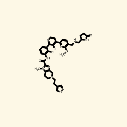 COc1nc(-c2ccnc(-c3cccc(NC(=O)c4nc5c(n4C)CCN(CCc4cnoc4)C5)c3Cl)c2Cl)ccc1CNCC1CCC(=O)N1